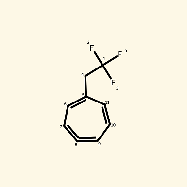 FC(F)(F)CC1=CC=C=CC=C1